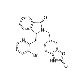 O=C1c2ccccc2[C@H](Cc2ncccc2Br)N1Cc1ccc2[nH]c(=O)oc2c1